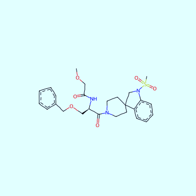 COCC(=O)N[C@H](COCc1ccccc1)C(=O)N1CCC2(CC1)CN(S(C)(=O)=O)c1ccccc12